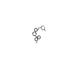 CCOC(=O)c1cccc(OCCC(CC)CC(C)C)c1